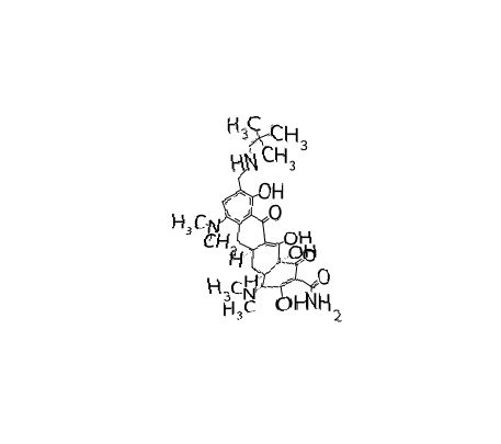 CN(C)c1cc(CNCC(C)(C)C)c(O)c2c1C[C@@H]1C[C@@H]3C(N(C)C)C(O)=C(C(N)=O)C(=O)[C@]3(O)C(O)=C1C2=O